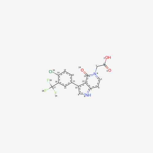 O=C(O)Cn1ccc2[nH]cc(-c3ccc(Cl)c(C(F)(F)F)c3)c2c1=O